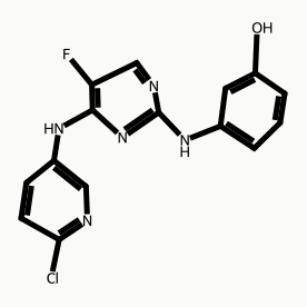 Oc1cccc(Nc2ncc(F)c(Nc3ccc(Cl)nc3)n2)c1